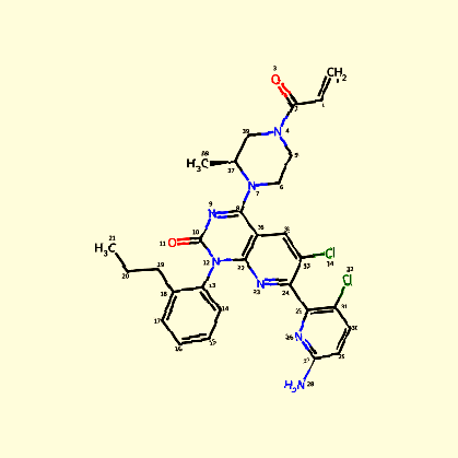 C=CC(=O)N1CCN(c2nc(=O)n(-c3ccccc3CCC)c3nc(-c4nc(N)ccc4Cl)c(Cl)cc23)[C@@H](C)C1